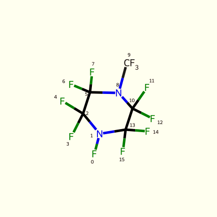 FN1C(F)(F)C(F)(F)N(C(F)(F)F)C(F)(F)C1(F)F